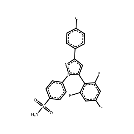 NS(=O)(=O)c1ccc(-n2nc(-c3ccc(Cl)cc3)cc2-c2c(F)cc(F)cc2F)cc1